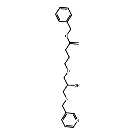 O=C(CCCOCC(O)CSCc1cccnc1)OCc1ccccc1